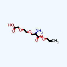 C=CCOOC(=O)C(N)COCCOCC(=O)O